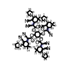 CC1(C)CC(N2CCCC2)=C(C#N)/C(=C(/C#N)C(=O)OC2CC(OC(=O)/C(C#N)=C3\CC(C)(C)CC(N4CCCC4)=C3C#N)C(OC(=O)/C(C#N)=C3\CC(C)(C)CC(N4CCCC4)=C3C#N)CC2OC(=O)/C(C#N)=C2\CC(C)(C)CC(N3CCCC3)=C2C#N)C1